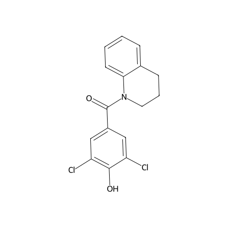 O=C(c1cc(Cl)c(O)c(Cl)c1)N1CCCc2ccccc21